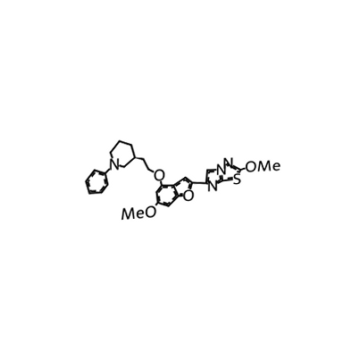 COc1cc(OCC[C@@H]2CCCN(c3ccccc3)C2)c2cc(-c3cn4nc(OC)sc4n3)oc2c1